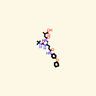 CC(CC(=O)NC[C@@H](CCC(=O)Nc1ccc(Oc2ccccc2)cc1)NC(=O)NC(C)(C)C)C(=O)O